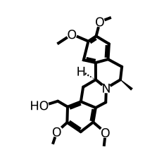 COc1cc2c(cc1OC)[C@@H]1Cc3c(CO)c(OC)cc(OC)c3CN1[C@H](C)C2